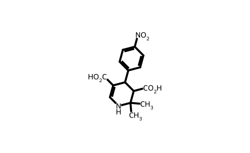 CC1(C)NC=C(C(=O)O)C(c2ccc([N+](=O)[O-])cc2)C1C(=O)O